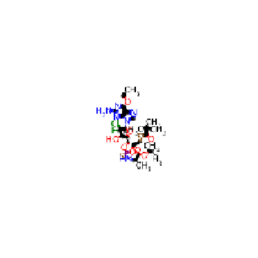 CCOc1nc(N)nc2c1ncn2[C@@H]1O[C@H](COP(=S)(N[C@H](C)C(=O)OC(C)C)OCCSC(=O)C(C)(C)C)[C@@H](O)[C@]1(F)Cl